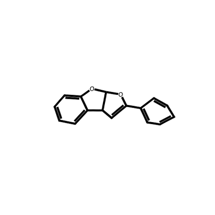 C1=C(c2ccccc2)OC2Oc3ccccc3C12